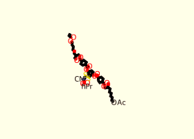 [C-]#[N+]/C(C(=O)OCCC)=C1/Sc2c(OC(=O)C3CCC(C4OCC(CCCCCCOC(C)=O)CO4)CC3)ccc(OC(=O)C3CCC(C4OCC(CCCCCCOC(=O)C=C)CO4)CC3)c2S1